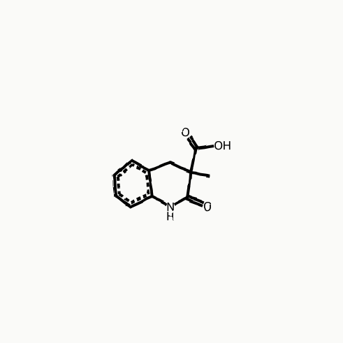 CC1(C(=O)O)Cc2ccccc2NC1=O